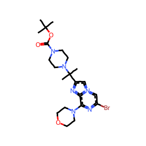 CC(C)(C)OC(=O)N1CCN(C(C)(C)c2cn3cc(Br)nc(N4CCOCC4)c3n2)CC1